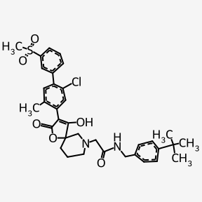 Cc1cc(-c2cccc(S(C)(=O)=O)c2)c(Cl)cc1C1=C(O)C2(CCCN(CC(=O)NCc3ccc(C(C)(C)C)cc3)C2)OC1=O